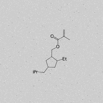 C=C(C)C(=O)OCC1CC(CC(C)C)CC1CC